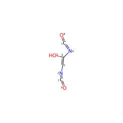 O=C=NC=C(O)N=C=O